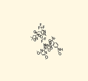 COc1cc(OC)nc(NC(=O)NS(=O)(=O)c2cc(NC=O)ccc2C(=O)N(C)C)n1.Cn1nc(C(F)(F)F)c(CS(=O)(=O)C2=NOC(C)(C)C2)c1OC(F)F